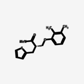 CNC(=O)[C@H](COc1cccc(C)c1C)Cc1cccs1